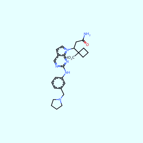 NC(=O)CC(n1ccc2cnc(Nc3cccc(CN4CCCC4)c3)nc21)C1(C(=O)O)CCC1